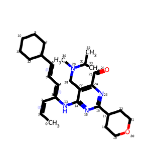 C\C=C/C(=C\C=C\C1CCCCC1)Nc1nc(C2CCOCC2)nc(C=O)c1CN(C)C(C)C